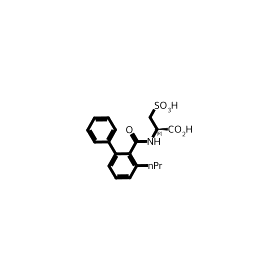 CCCc1cccc(-c2ccccc2)c1C(=O)N[C@@H](CS(=O)(=O)O)C(=O)O